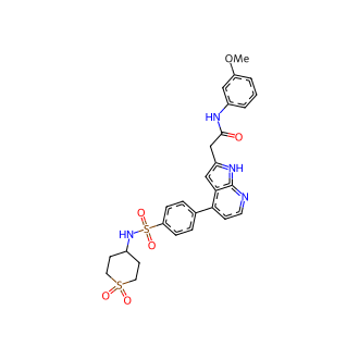 COc1cccc(NC(=O)Cc2cc3c(-c4ccc(S(=O)(=O)NC5CCS(=O)(=O)CC5)cc4)ccnc3[nH]2)c1